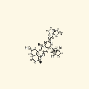 Oc1cc(-c2c(Cl)cc3c(N4C[C@H]5CC[C@@H](C4)N5)nc(OC[C@@]45CCCN4C[C@H](F)C5)nc3c2F)c2c(F)c(F)ccc2c1